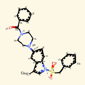 O=Cc1cn(S(=O)(=O)Cc2ccccc2)c2ccc(N3CCN(C(=O)c4ccccc4)CC3)cc12